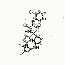 Cc1cc(Nc2cccc(C3(c4ccsc4)CC(=O)C(Sc4ccccc4Cl)C(=O)N3)n2)nn1C